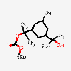 CCC(C)C1CC(C(O)(C(F)(F)F)C(F)(F)F)CC(C(OC(=O)OC(C)(C)C)(C(F)(F)F)C(F)(F)F)C1